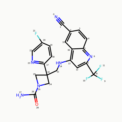 N#Cc1ccc2nc(C(F)(F)F)cc(NCC3(c4ccc(F)cn4)CN(C(N)=O)C3)c2c1